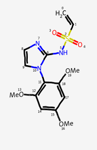 C=CS(=O)(=O)Nc1nccn1-c1c(OC)cc(OC)cc1OC